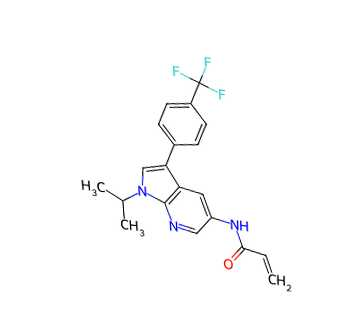 C=CC(=O)Nc1cnc2c(c1)c(-c1ccc(C(F)(F)F)cc1)cn2C(C)C